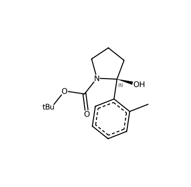 Cc1ccccc1[C@@]1(O)CCCN1C(=O)OC(C)(C)C